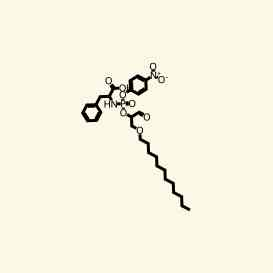 CCCCCCCCCCCCOCC(C=O)OP(=O)(NC(Cc1ccccc1)C(=O)O)Oc1ccc([N+](=O)[O-])cc1